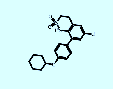 O=S1(=O)CCc2cc(Cl)cc(-c3ccc(OC4CCCCC4)cc3)c2N1